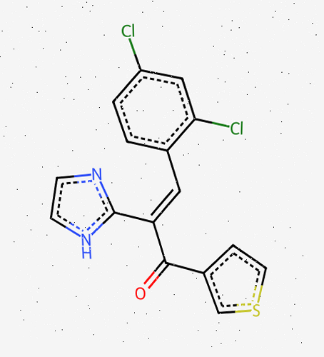 O=C(/C(=C/c1ccc(Cl)cc1Cl)c1ncc[nH]1)c1ccsc1